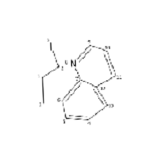 CCCI.c1ccc2ncccc2c1